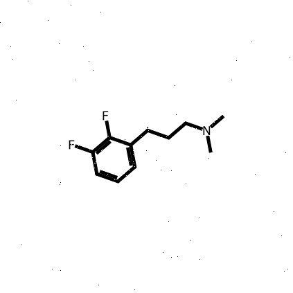 CN(C)CC[CH]c1cccc(F)c1F